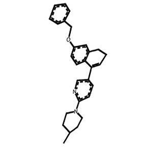 CC1CCN(c2ccc(C3=CCCc4cc(OCc5ccccc5)ccc43)cn2)CC1